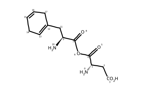 N[C@@H](CC(=O)O)C(=O)OC(=O)[C@@H](N)CC1=CCC=CC1